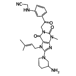 CC(C)=CCn1c(N2CCCC(N)C2)nc2c1c(=O)n(CC(=O)c1cccc(NCC#N)c1)c(=O)n2C